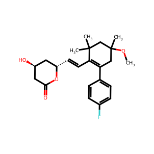 COC1(C)CC(c2ccc(F)cc2)=C(C=C[C@H]2C[C@H](O)CC(=O)O2)C(C)(C)C1